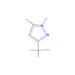 Cc1cc(C(C)(C)C)nn1C